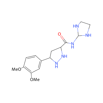 COc1ccc(C2CC(C(=O)NC3NCCN3)NN2)cc1OC